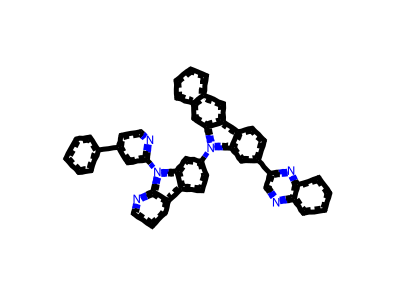 c1ccc(-c2ccnc(-n3c4cc(-n5c6cc(-c7cnc8ccccc8n7)ccc6c6cc7ccccc7cc65)ccc4c4cccnc43)c2)cc1